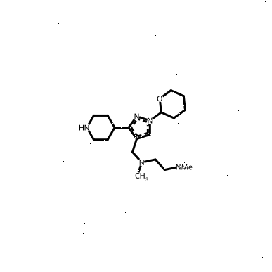 CNCCN(C)Cc1cn(C2CCCCO2)nc1C1CCNCC1